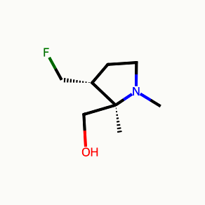 CN1CC[C@@H](CF)[C@]1(C)CO